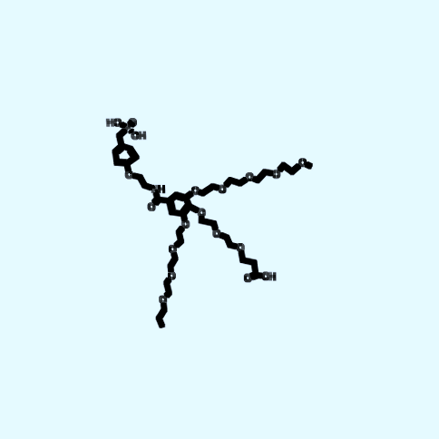 CCCOCCOCCOCCOc1cc(C(=O)NCCOc2ccc(CP(=O)(O)O)cc2)cc(OCCOCCOCCOCCOC)c1OCCOCCOCCC(=O)O